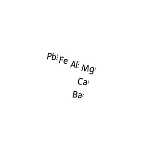 [Al].[Ba].[Ca].[Fe].[Mg].[Pb]